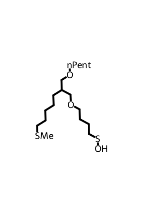 CCCCCOCC(CCCCCSC)COCCCCSO